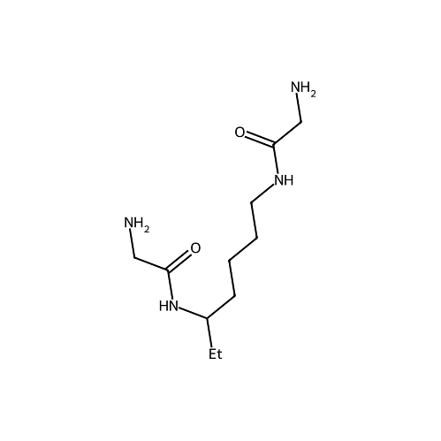 CCC(CCCCNC(=O)CN)NC(=O)CN